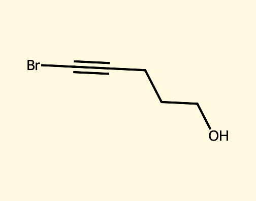 OCCCC#CBr